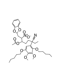 CCCCCOc1cc(C(C#N)(CC)CCC(OC(C)=O)C(CC2Oc3ccccc3O2)[N+](=O)[O-])c(OCCCCC)c(OC)c1OC